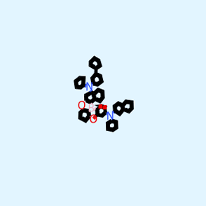 C1=CC2C(N(c3ccccc3)c3ccc4ccccc4c3)=CC3=C(B4c5c(cccc5Oc5cc(N(c6ccccc6)c6cccc(-c7ccccc7)c6)c6ccccc6c54)O3)C2C=C1